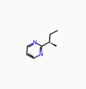 CC[C@@H](C)c1ncccn1